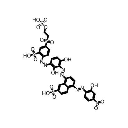 O=[N+]([O-])c1ccc(/N=N/c2ccc(/N=N/c3c(O)ccc(/N=N\c4ccc(S(=O)(=O)CCOS(=O)(=O)O)cc4S(=O)(=O)O)c3O)c3cc(S(=O)(=O)O)ccc23)c(O)c1